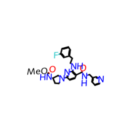 COC(=O)N[C@H]1CCN(c2ccc(C(=O)NCc3cccnc3)c(NCCc3cccc(F)c3)n2)C1